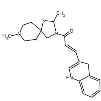 CC1SC2(CCN(C)CC2)CN1C(=O)/C=C/C1=CNc2ccccc2C1